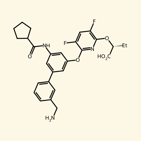 CC[C@@H](Oc1nc(Oc2cc(NC(=O)C3CCCC3)cc(-c3cccc(CN)c3)c2)c(F)cc1F)C(=O)O